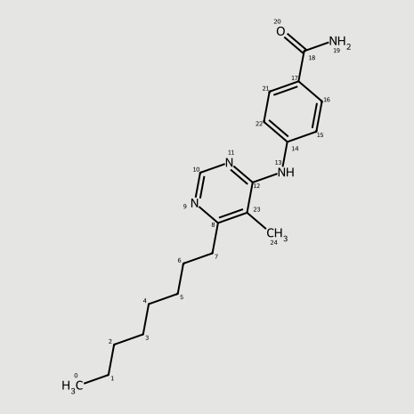 CCCCCCCCc1ncnc(Nc2ccc(C(N)=O)cc2)c1C